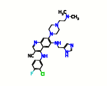 CN(C)CCN1CCN(c2cc3ncc(C#N)c(Nc4ccc(F)c(Cl)c4)c3cc2NCc2cnc[nH]2)CC1